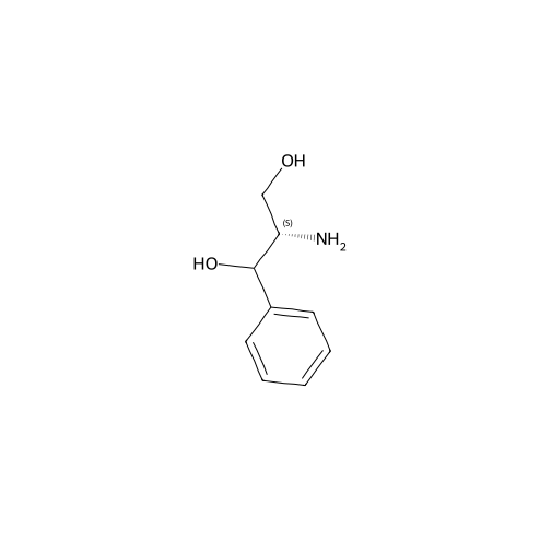 N[C@@H](CO)C(O)c1ccccc1